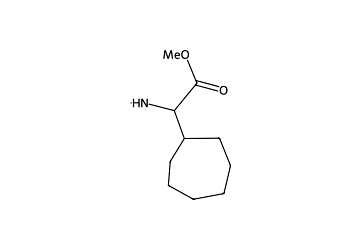 COC(=O)C([NH])C1CCCCCC1